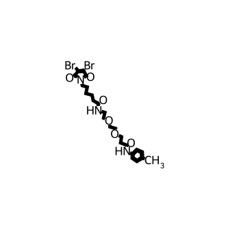 Cc1ccc(NC(=O)CCOCCOCCNC(=O)CCCCCN2C(=O)C(Br)=C(Br)C2=O)cc1